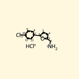 Cl.NCc1ccc(-c2ccc(Cl)cc2)o1